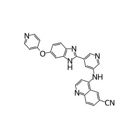 N#Cc1ccc2nccc(Nc3cncc(-c4nc5ccc(Oc6ccncc6)cc5[nH]4)c3)c2c1